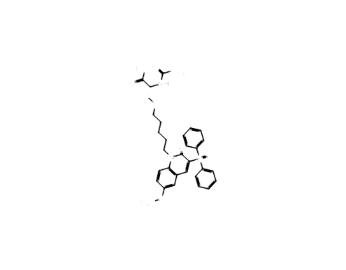 COc1ccc2c(c1)cc(P(=O)(c1ccccc1)c1ccccc1)c(=O)n2CCCCCSC[C@@H](NC(C)=O)C(=O)O